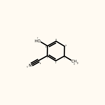 CC1C=C(C#N)C(O)=CC1